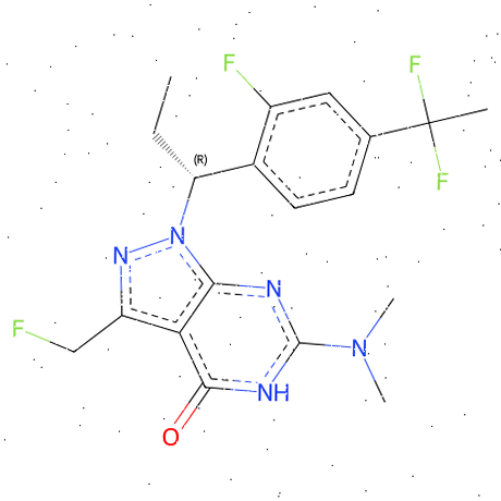 CC[C@H](c1ccc(C(C)(F)F)cc1F)n1nc(CF)c2c(=O)[nH]c(N(C)C)nc21